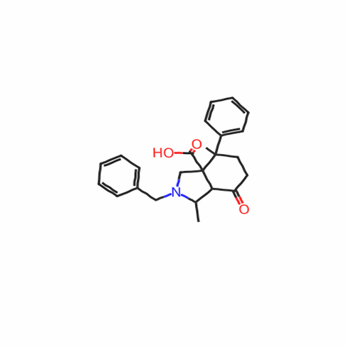 CC1C2C(=O)CCC(C)(c3ccccc3)C2(C(=O)O)CN1Cc1ccccc1